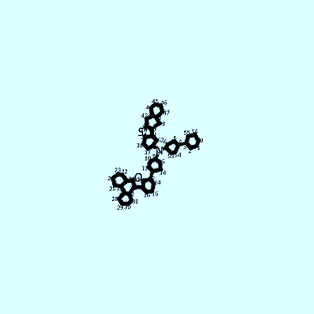 c1ccc(-c2ccc(N(c3ccc(-c4cccc5c4oc4c6ccccc6c6ccccc6c54)cc3)c3ccc4sc5cc6ccccc6cc5c4c3)cc2)cc1